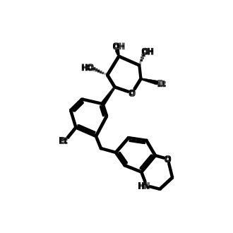 CCc1ccc([C@@H]2O[C@H](CC)[C@@H](O)[C@H](O)[C@H]2O)cc1Cc1ccc2c(c1)NCCO2